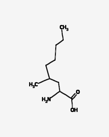 CCCCCC(C)CC(N)C(=O)O